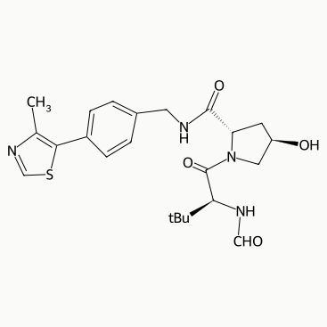 Cc1ncsc1-c1ccc(CNC(=O)[C@@H]2C[C@@H](O)CN2C(=O)[C@@H](NC=O)C(C)(C)C)cc1